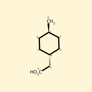 C[C@H]1CC[C@H](CC(=O)O)CC1